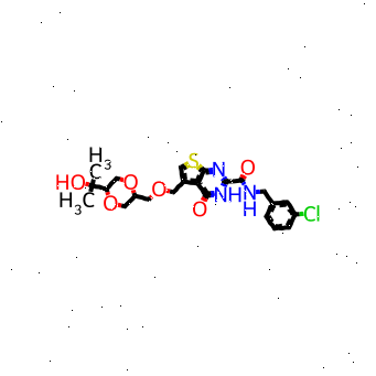 CC(C)(O)C1COC(COCc2csc3nc(C(=O)NCc4cccc(Cl)c4)[nH]c(=O)c23)CO1